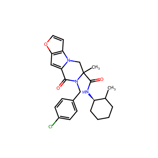 CC1CCCC[C@H]1NC(=O)C1(C)Cn2c(cc3occc32)C(=O)N1Cc1ccc(Cl)cc1